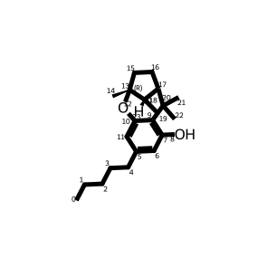 CCCCCc1cc(O)c2c(c1)O[C@]1(C)CCC([C@@H]1C)C2(C)C